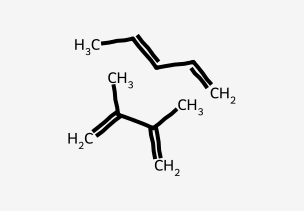 C=C(C)C(=C)C.C=C/C=C/C